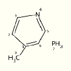 Cc1ccncc1.P